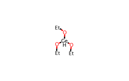 CC[O][GeH]([O]CC)[O]CC